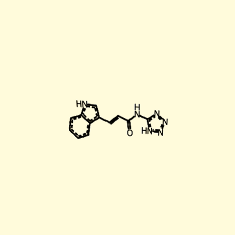 O=C(C=Cc1c[nH]c2ccccc12)Nc1nnn[nH]1